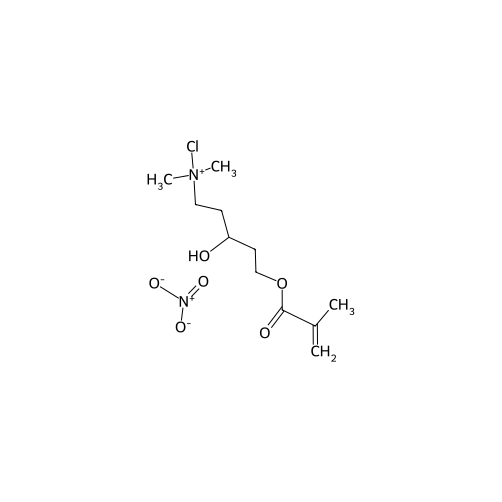 C=C(C)C(=O)OCCC(O)CC[N+](C)(C)Cl.O=[N+]([O-])[O-]